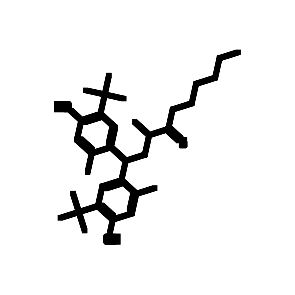 CCCCCCC(=S)C(C)CC(c1cc(C(C)(C)C)c(O)cc1C)c1cc(C(C)(C)C)c(O)cc1C